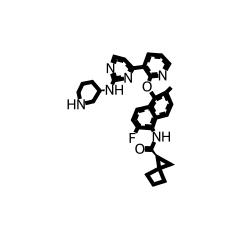 Cc1ccc2c(NC(=O)[C@H]3CC34CCC4)c(F)ccc2c1Oc1ncccc1-c1ccnc(N[C@H]2CCCNC2)n1